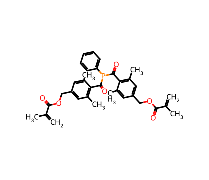 C=C(C)C(=O)OCc1cc(C)c(C(=O)P(C(=O)c2c(C)cc(COC(=O)C(=C)C)cc2C)c2ccccc2)c(C)c1